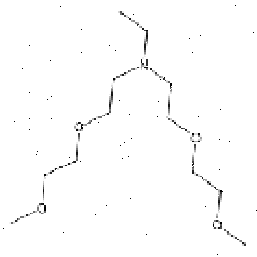 CCN(CCOCCOC)CCOCCOC